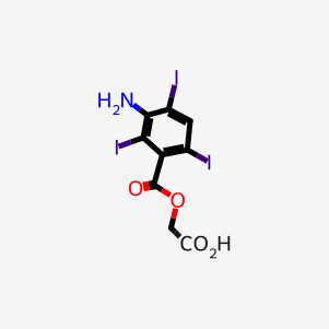 Nc1c(I)cc(I)c(C(=O)OCC(=O)O)c1I